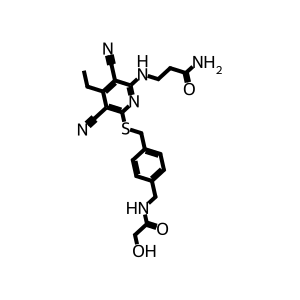 CCc1c(C#N)c(NCCC(N)=O)nc(SCc2ccc(CNC(=O)CO)cc2)c1C#N